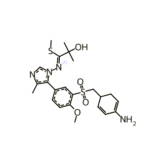 COc1ccc(-c2c(C)ncn2/N=C(\SC)C(C)(C)O)cc1S(=O)(=O)CC1C=CC(N)=CC1